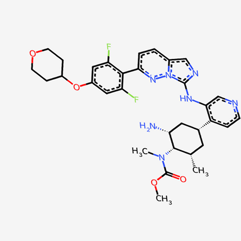 COC(=O)N(C)[C@@H]1[C@H](N)C[C@H](c2ccncc2Nc2ncc3ccc(-c4c(F)cc(OC5CCOCC5)cc4F)nn23)C[C@@H]1C